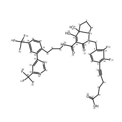 CC12CCCN1N(Cc1ccc(C#CCCCC(=O)O)c(F)c1F)C(=O)C(C(=O)NCCCc1ccc(C(F)(F)F)cc1-c1cc(C(F)(F)F)ncn1)=C2O